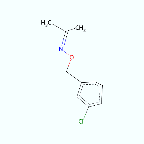 CC(C)=NOCc1cccc(Cl)c1